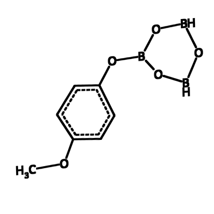 COc1ccc(OB2OBOBO2)cc1